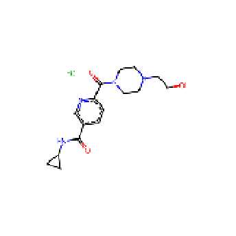 Cl.O=C(NC1CC1)c1ccc(C(=O)N2CCN(CCO)CC2)nc1